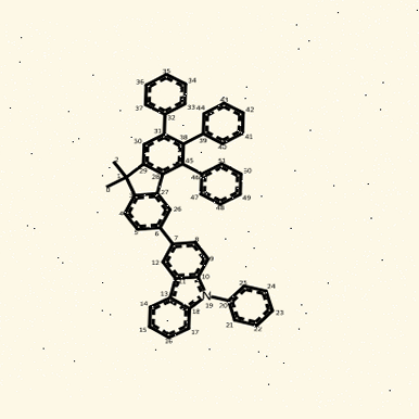 CC1(C)c2ccc(-c3ccc4c(c3)c3ccccc3n4-c3ccccc3)cc2-c2c1cc(-c1ccccc1)c(-c1ccccc1)c2-c1ccccc1